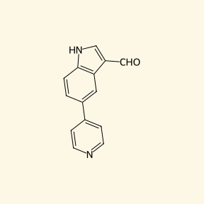 O=Cc1c[nH]c2ccc(-c3ccncc3)cc12